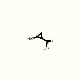 CC(C)C(=O)C1CC1C